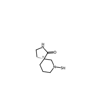 O=C1NCC[C@]12CCCN(S)C2